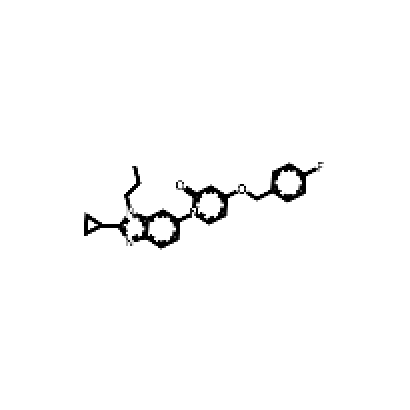 CCCn1c(C2CC2)nc2ccc(-n3ccc(OCc4ccc(F)cc4)cc3=O)cc21